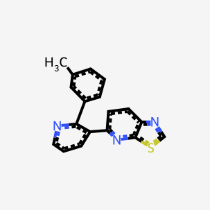 Cc1cccc(-c2ncccc2-c2ccc3ncsc3n2)c1